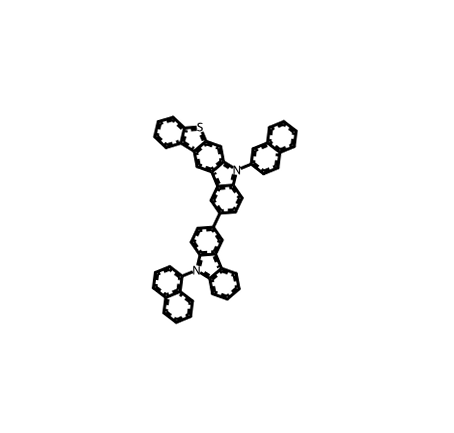 c1ccc2cc(-n3c4ccc(-c5ccc6c(c5)c5ccccc5n6-c5cccc6ccccc56)cc4c4cc5c(cc43)sc3ccccc35)ccc2c1